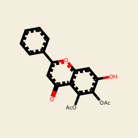 CC(=O)Oc1c(O)cc2oc(-c3ccccc3)cc(=O)c2c1OC(C)=O